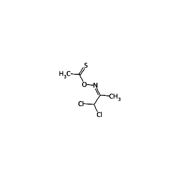 CC(=S)ON=C(C)C(Cl)Cl